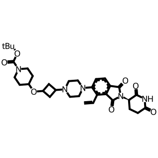 C=Cc1c(N2CCN(C3CC(OC4CCN(C(=O)OC(C)(C)C)CC4)C3)CC2)ccc2c1C(=O)N([C@@H]1CCC(=O)NC1=O)C2=O